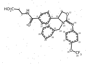 O=C(O)CCNC(=O)c1ccc(C2COC(=Nc3ccc(OC(F)(F)F)cc3)N2Cc2ccccc2)cc1